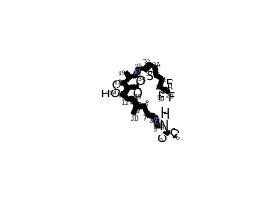 COC(=O)N/C=C/CCC(C)c1cc(O)c(C(=O)C(C)/C=C/c2ccc(CCC(F)(F)F)s2)c(=O)o1